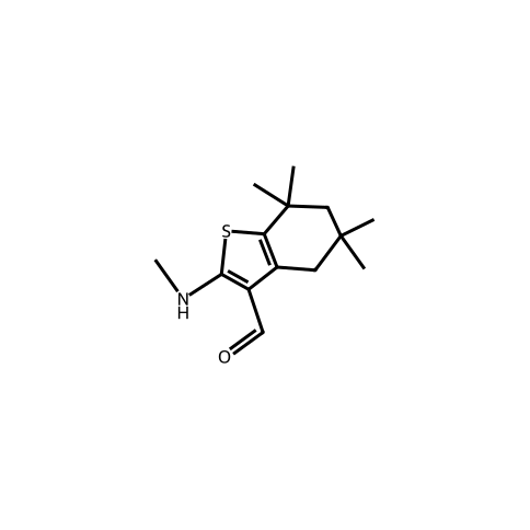 CNc1sc2c(c1C=O)CC(C)(C)CC2(C)C